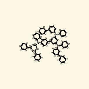 c1ccc(-c2cccc(N(c3ccccc3)c3cc(-c4ccc5c(c4)c4ccccc4n5-c4nc(-c5ccccc5)nc(-c5ccccc5)n4)cc(N(c4ccccc4)c4cccc(-c5ccccc5)c4)c3)c2)cc1